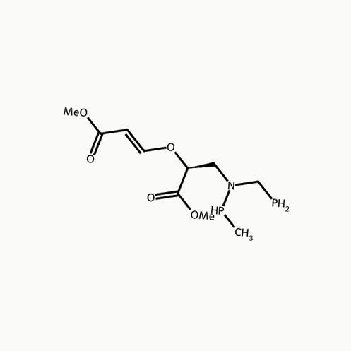 COC(=O)/C=C/O[C@@H](CN(CP)PC)C(=O)OC